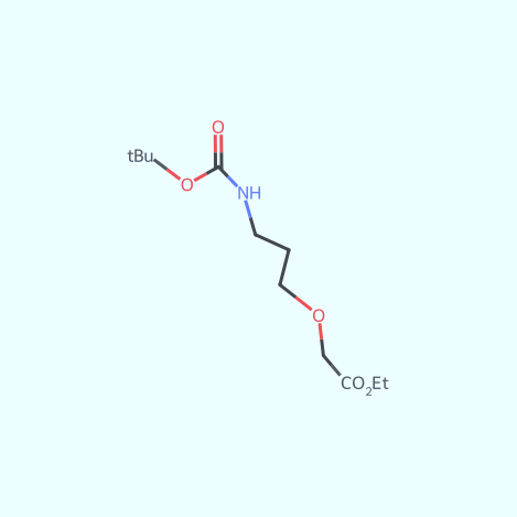 CCOC(=O)COCCCNC(=O)OC(C)(C)C